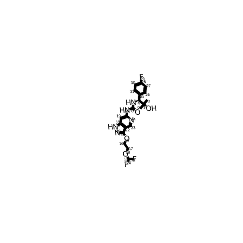 CC(C)(O)[C@@H](NC(=O)Nc1cc2[nH]nc(OCCOC(F)F)c2cn1)c1ccc(F)cc1